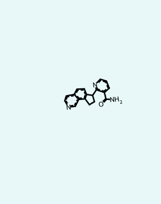 NC(=O)c1cccnc1C1CCc2c1ccc1ccncc21